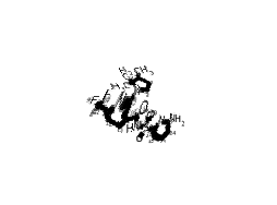 CC1CCN(c2nc(C(F)(F)F)ccc2C(=O)NS(=O)(=O)c2cccc(N)n2)C1(C)C